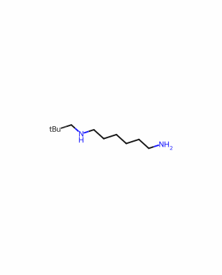 CC(C)(C)CNCCCCCCN